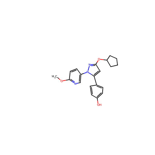 COc1ccc(-n2nc(OC3CCCC3)cc2-c2ccc(O)cc2)cn1